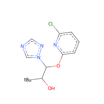 CC(C)(C)C(O)C(Oc1cccc(Cl)n1)n1cncn1